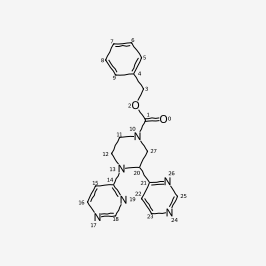 O=C(OCc1ccccc1)N1CCN(c2ccncn2)C(c2ccncn2)C1